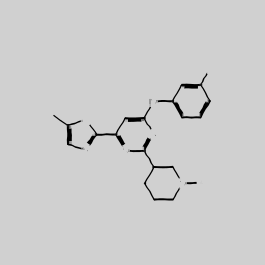 CC(=O)N1CCCC(c2nc(Nc3cccc(F)c3)cc(-c3ncc(C)o3)n2)C1